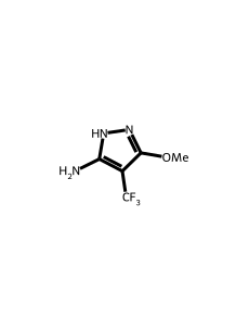 COc1n[nH]c(N)c1C(F)(F)F